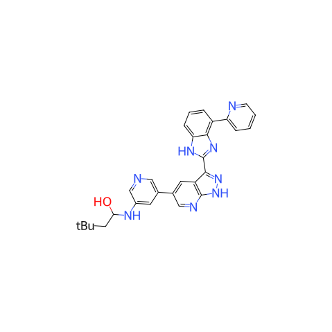 CC(C)(C)CC(O)Nc1cncc(-c2cnc3[nH]nc(-c4nc5c(-c6ccccn6)cccc5[nH]4)c3c2)c1